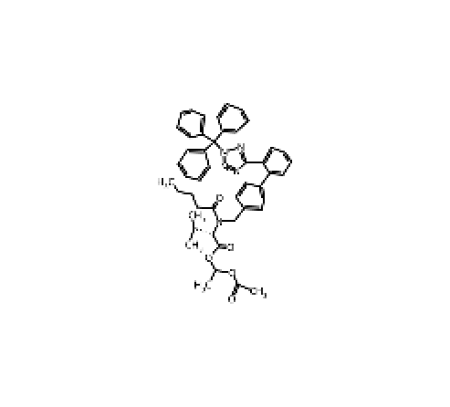 CCCCC(=O)N(Cc1ccc(-c2ccccc2-c2nnn(C(c3ccccc3)(c3ccccc3)c3ccccc3)n2)cc1)[C@H](C(=O)OC(C)OC(C)=O)C(C)C